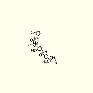 CC(C)(C)c1ccc(C(=O)Nc2ccc(-c3cc(C4CC4)n(C(=O)NCc4ccccc4Cl)n3)c(O)c2)cc1